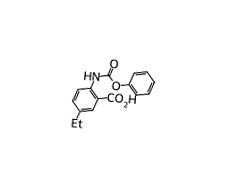 CCc1ccc(NC(=O)Oc2ccccc2)c(C(=O)O)c1